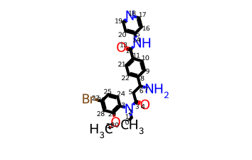 CCN(C(=O)CC(N)c1ccc(C(=O)Nc2ccncc2)cc1)c1ccc(Br)cc1OC